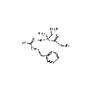 CC(C)OC(=O)CC(O)(CC(=O)O)C(=O)O.CCC(=O)OCCc1ccccc1